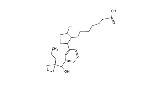 CCCC1(C(O)c2cccc(C3CCC(Cl)C3CCCCCCC(=O)O)c2)CCC1